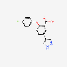 O=C(O)c1cc(-c2cn[nH]c2)ccc1Oc1ccc(F)cc1